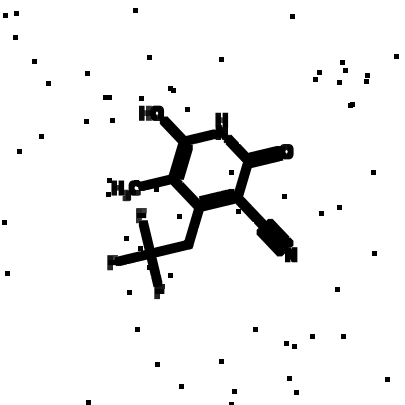 Cc1c(O)[nH]c(=O)c(C#N)c1CC(F)(F)F